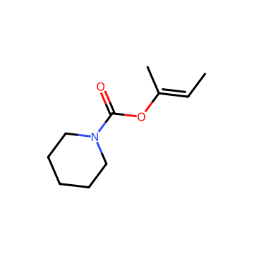 C/C=C(\C)OC(=O)N1CCCCC1